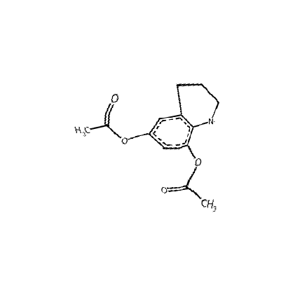 CC(=O)Oc1cc2c(c(OC(C)=O)c1)[N]CCC2